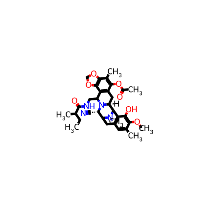 CCC(C)C(=O)NCC1c2c(c(OC(C)=O)c(C)c3c2OCO3)C[C@H]2C3c4c(cc(C)c(OC)c4O)CC([C@H](C#N)N12)N3C